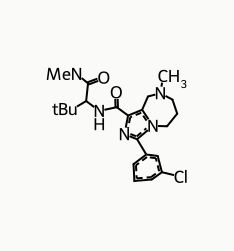 CNC(=O)C(NC(=O)c1nc(-c2cccc(Cl)c2)n2c1CN(C)CCC2)C(C)(C)C